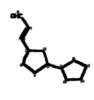 O=C/C=C/C1CCC(C2CCCC2)C1